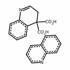 O=C(O)C1(C(=O)O)CC=Nc2ccccc21.c1ccc2ncccc2c1